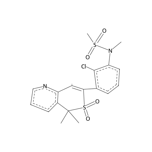 CN(c1cccc(C2=[C]c3ncccc3C(C)(C)S2(=O)=O)c1Cl)S(C)(=O)=O